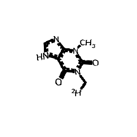 [2H]Cn1c(=O)c2[nH]cnc2n(C)c1=O